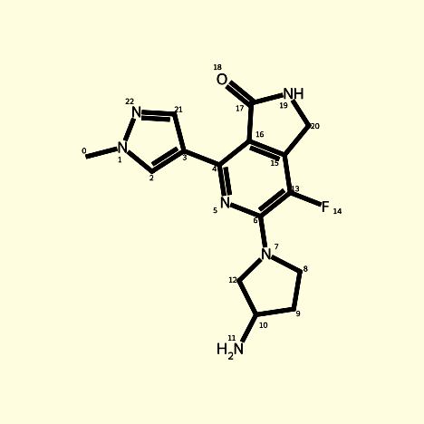 Cn1cc(-c2nc(N3CCC(N)C3)c(F)c3c2C(=O)NC3)cn1